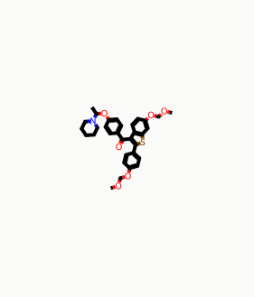 COCOc1ccc(-c2sc3cc(OCOC)ccc3c2C(=O)c2ccc(OC(C)N3CCCCC3)cc2)cc1